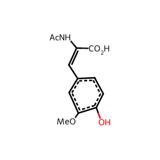 COc1cc(/C=C(/NC(C)=O)C(=O)O)ccc1O